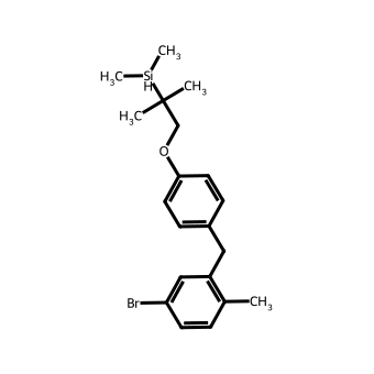 Cc1ccc(Br)cc1Cc1ccc(OCC(C)(C)[SiH](C)C)cc1